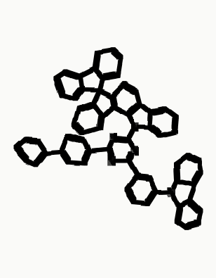 c1ccc(-c2ccc(-c3nc(-c4cccc(-n5c6ccccc6c6ccccc65)c4)nc(-n4c5ccccc5c5ccc6c(c54)-c4ccccc4C64c5ccccc5-c5ccccc54)n3)cc2)cc1